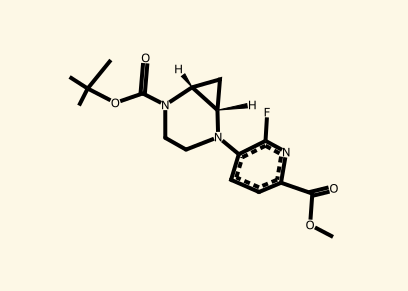 COC(=O)c1ccc(N2CCN(C(=O)OC(C)(C)C)[C@@H]3C[C@@H]32)c(F)n1